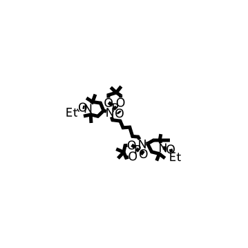 CCON1C(C)(C)CC(N(CCCCCCN(C2CC(C)(C)N(OCC)C(C)(C)C2)P2(=O)OCC(C)(C)CO2)P2(=O)OCC(C)(C)CO2)CC1(C)C